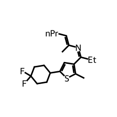 CCC/C=C(C)/N=C(/CC)c1cc(C2CCC(F)(F)CC2)sc1C